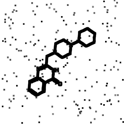 O=c1[nH]c(CN2CCN(C3CCCCC3)CC2)nc2ccccc12